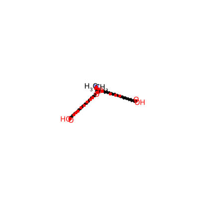 CN(C)Cc1cc(OCCCCCCCCCCCCCC=CCC=CCCCCCCCC(=O)O)cc(OCCCCCCCCCCCCCC=CCC=CCCCCCCCC(=O)O)c1